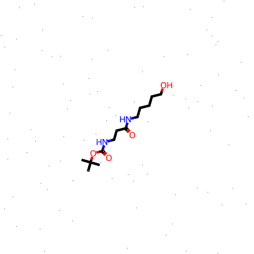 CC(C)(C)OC(=O)NCCC(=O)NCCCCCO